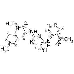 CN1CCc2c(cc(Nc3ncc(Cl)c(Nc4ccccc4[S+](C)[O-])n3)c(=O)n2C)C1